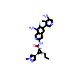 CCC[C@@H]1[C@@H](C(=O)Nc2cc3cc(-c4cncc(N)c4C)c(F)c(N)c3cn2)[C@@H]1c1cnn(C)c1